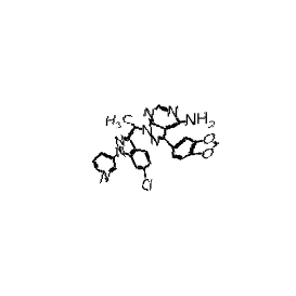 CC(c1nn(-c2cccnc2)c2cc(Cl)ccc12)n1nc(-c2ccc3c(c2)OCO3)c2c(N)ncnc21